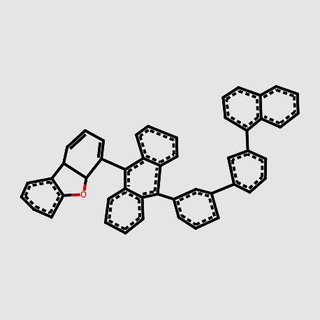 C1=CC2c3ccccc3OC2C(c2c3ccccc3c(-c3cccc(-c4cccc(-c5cccc6ccccc56)c4)c3)c3ccccc23)=C1